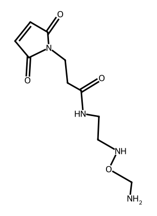 NCONCCNC(=O)CCN1C(=O)C=CC1=O